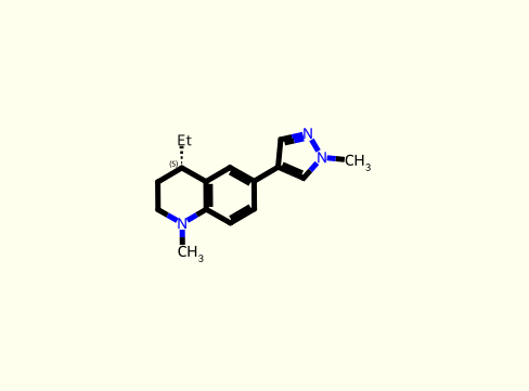 CC[C@H]1CCN(C)c2ccc(-c3cnn(C)c3)cc21